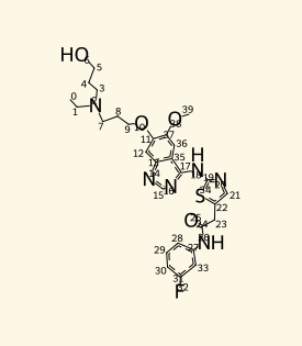 CCN(CCCO)CCCOc1cc2ncnc(Nc3ncc(CC(=O)Nc4cccc(F)c4)s3)c2cc1OC